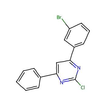 Clc1nc(-c2ccccc2)cc(-c2cccc(Br)c2)n1